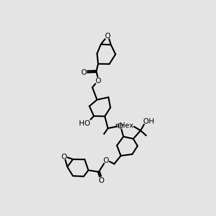 CCCCCCC(C)(O)C1CCC(COC(=O)C2CCC3OC3C2)CC1OC(C)C1CCC(COC(=O)C2CCC3OC3C2)CC1O